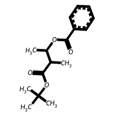 CC(OC(=O)c1ccccc1)C(C)C(=O)OC(C)(C)C